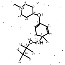 CN1CCC(OC2=CCC(C)(NOC(C)(C)C(C)(C)C)C=C2)CC1